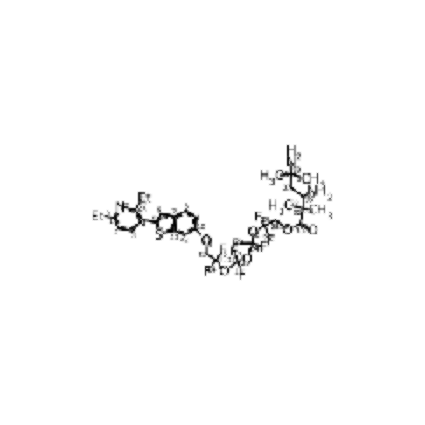 CCc1ccc(-c2cc3ccc(OCC(F)(F)OC(F)(F)OC(F)(F)OC(F)(F)COC(=O)C(C)(C)C(N)CC(C)(C)N)cc3s2)c(CC)n1